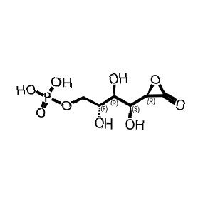 O=C1O[C@@H]1[C@@H](O)[C@H](O)[C@H](O)COP(=O)(O)O